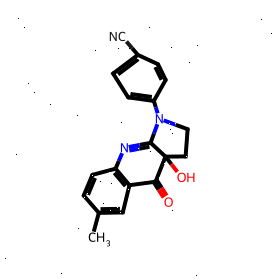 Cc1ccc2c(c1)C(=O)C1(O)CCN(c3ccc(C#N)cc3)C1=N2